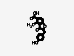 Cc1c(C(=O)O)ccc2c1C(=O)C(=Cc1ccc(O)cc1)O2